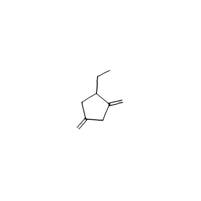 O=C1CC(=O)C(CCl)C1